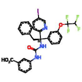 O=C(Nc1cccc(C(=O)O)c1)N[C@@](Cc1ccccc1)(c1cccc(OC(F)(F)C(F)F)c1)c1ccc(I)cn1